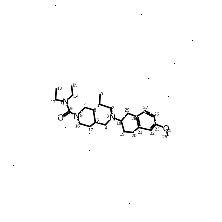 CCCN(CC1CCN(C(=O)N(CC)CC)CC1)C1CCc2cc(OC)ccc2C1